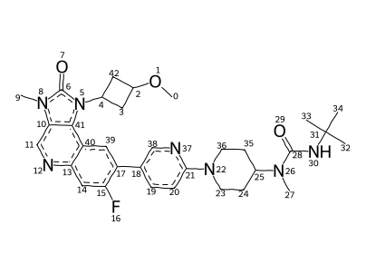 COC1CC(n2c(=O)n(C)c3cnc4cc(F)c(-c5ccc(N6CCC(N(C)C(=O)NC(C)(C)C)CC6)nc5)cc4c32)C1